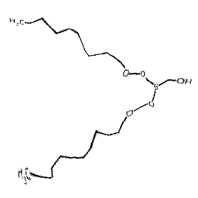 CCCCCCOOB(O)OOCCCCCC